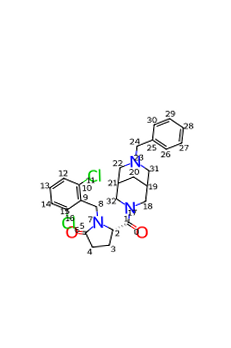 O=C([C@@H]1CCC(=O)N1Cc1c(Cl)cccc1Cl)N1CC2CC(CN(Cc3ccccc3)C2)C1